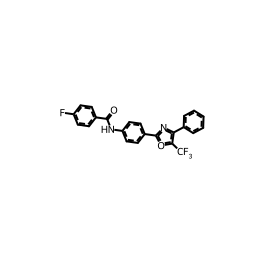 O=C(Nc1ccc(-c2nc(-c3ccccc3)c(C(F)(F)F)o2)cc1)c1ccc(F)cc1